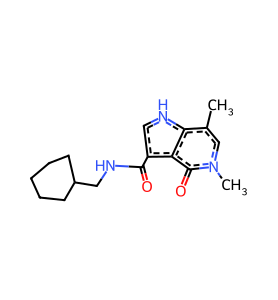 Cc1cn(C)c(=O)c2c(C(=O)NCC3CCCCC3)c[nH]c12